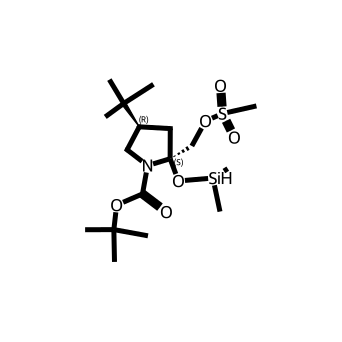 C[SiH](C)O[C@]1(COS(C)(=O)=O)C[C@H](C(C)(C)C)CN1C(=O)OC(C)(C)C